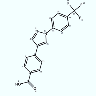 O=C(O)c1ccc(-c2cnn(-c3ccc(C(F)(F)F)cc3)c2)cc1